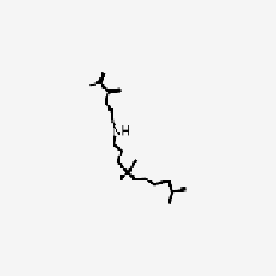 C=C(C)C(=C)CCCNCCCC(C)(C)CCCCC(C)C